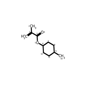 C=C(C)C(=O)OC1CCC(C)CC1